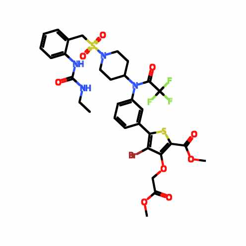 CCNC(=O)Nc1ccccc1CS(=O)(=O)N1CCC(N(C(=O)C(F)(F)F)c2cccc(-c3sc(C(=O)OC)c(OCC(=O)OC)c3Br)c2)CC1